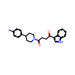 O=C(CCC(=O)N1CCC(c2ccc(I)cc2)CC1)c1c[nH]c2ccccc12